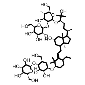 CCC1CC[C@H](O[C@@H]2C[C@H](CO)[C@@H](O[C@@H]3O[C@H](CO)[C@@H](O)[C@H](O)[C@H]3O)[C@H](O)[C@H]2O)C(C)(C)/C1=C/CC1C[C@H](O)C[C@]2(C)C([C@H](C)CC[C@@H](O[C@@H]3O[C@H](CO)[C@@H](C)[C@H](O)[C@H]3O[C@@H]3O[C@H](CO)[C@@H](O)[C@H](O)[C@H]3O)C(C)(C)O)CC[C@@]12C